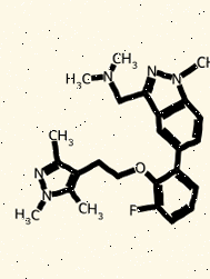 Cc1nn(C)c(C)c1CCOc1c(F)cccc1-c1ccc2c(c1)c(CN(C)C)nn2C